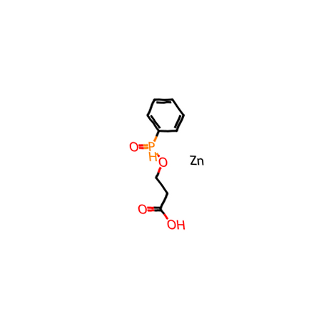 O=C(O)CCO[PH](=O)c1ccccc1.[Zn]